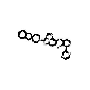 Clc1c(Sc2ccc3nc(N4CCC5(CC4)Cc4ccccc4C5)c4cnc2n34)ccnc1-c1cnccn1